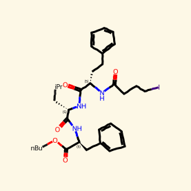 CCCCOC(=O)[C@H](Cc1ccccc1)NC(=O)[C@H](CC(C)C)NC(=O)[C@H](CCc1ccccc1)NC(=O)CCCI